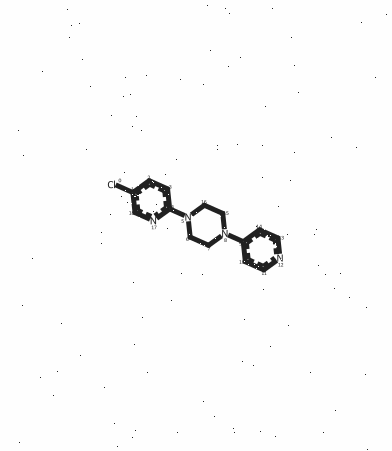 Clc1ccc(N2CCN(c3ccncc3)CC2)nc1